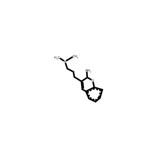 CN(C)CCCC1=Cc2ccccc2OC1N